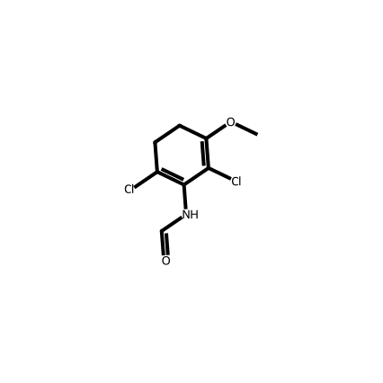 COC1=C(Cl)C(NC=O)=C(Cl)CC1